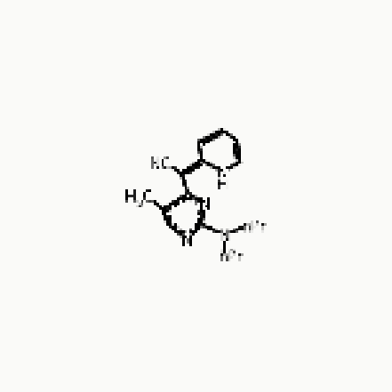 CCCN(CCC)c1ncc(C)c(/C(C#N)=C2/C=CC=CN2)n1